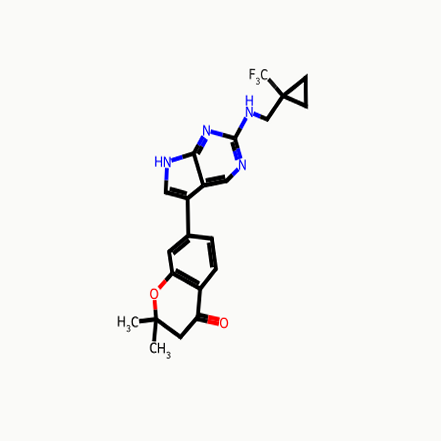 CC1(C)CC(=O)c2ccc(-c3c[nH]c4nc(NCC5(C(F)(F)F)CC5)ncc34)cc2O1